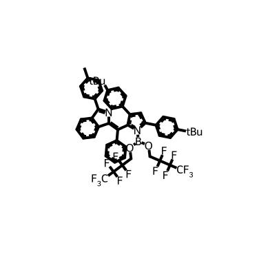 Cc1ccc(C2=N/C(=C(/c3ccccc3)c3c(-c4ccc(C(C)(C)C)cc4)cc(-c4ccc(C(C)(C)C)cc4)n3B(OCC(F)(F)C(F)(F)C(F)(F)F)OCC(F)(F)C(F)(F)C(F)(F)F)c3ccccc32)cc1